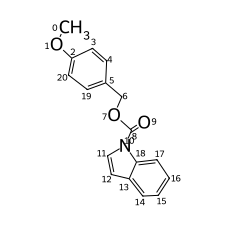 COc1ccc(COC(=O)n2ccc3ccccc32)cc1